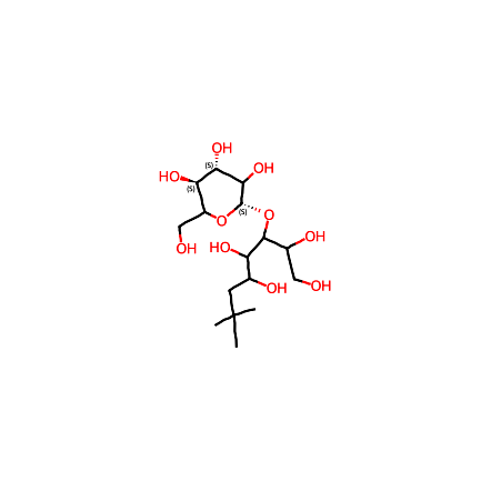 CC(C)(C)CC(O)C(O)C(O[C@@H]1OC(CO)[C@@H](O)[C@H](O)C1O)C(O)CO